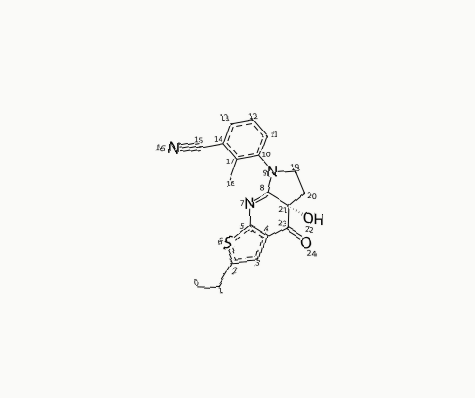 CCc1cc2c(s1)N=C1N(c3cccc(C#N)c3C)CC[C@@]1(O)C2=O